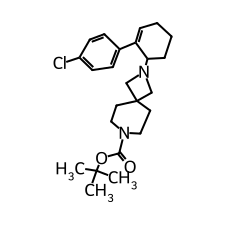 CC(C)(C)OC(=O)N1CCC2(CC1)CN(C1CCCC=C1c1ccc(Cl)cc1)C2